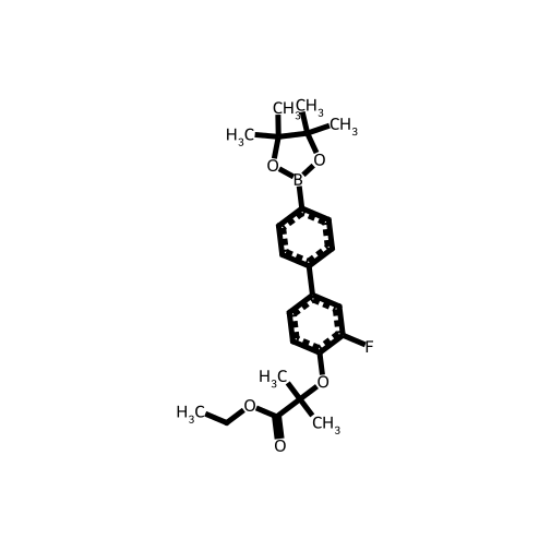 CCOC(=O)C(C)(C)Oc1ccc(-c2ccc(B3OC(C)(C)C(C)(C)O3)cc2)cc1F